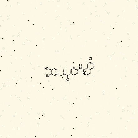 N=C1C=CC(CNC(=O)c2ccc(Nc3nccc4ccc(Cl)cc34)nc2)=CC1=N